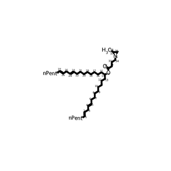 CCCCC/C=C/C/C=C/CCCCCCCCC(CCCCCCCC/C=C/C/C=C/CCCCC)OC(=O)CCCN1CC1C